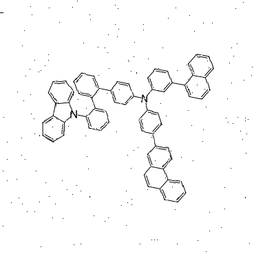 c1cc(-c2cccc3ccccc23)cc(N(c2ccc(-c3ccc4c(ccc5ccccc54)c3)cc2)c2ccc(-c3ccccc3-c3ccccc3-n3c4ccccc4c4ccccc43)cc2)c1